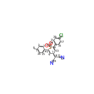 Cc1ccc(C2=CC(=C(C#N)C#N)C=C(c3ccc(Cl)cc3)S2(=O)=O)cc1